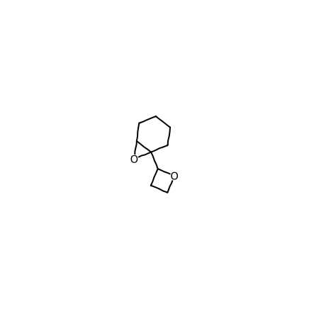 C1CCC2(C3CCO3)OC2C1